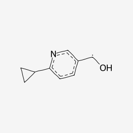 O[CH]c1ccc(C2CC2)nc1